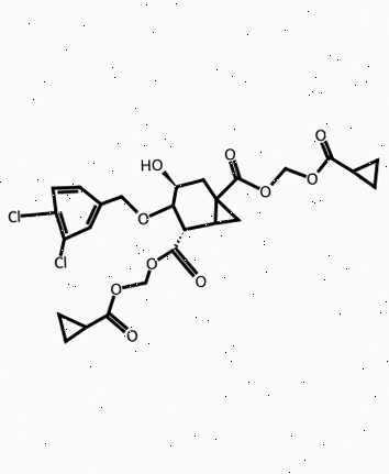 O=C(OCOC(=O)[C@@H]1C(OCc2ccc(Cl)c(Cl)c2)[C@@H](O)CC2(C(=O)OCOC(=O)C3CC3)CC12)C1CC1